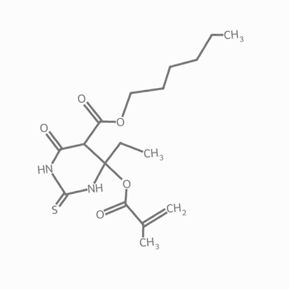 C=C(C)C(=O)OC1(CC)NC(=S)NC(=O)C1C(=O)OCCCCCC